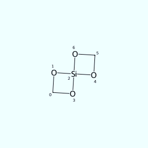 C1O[Si]2(O1)OCO2